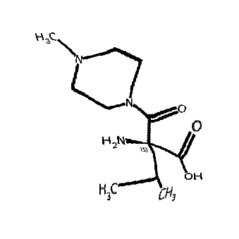 CC(C)[C@@](N)(C(=O)O)C(=O)N1CCN(C)CC1